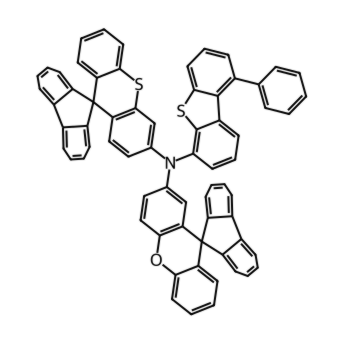 c1ccc(-c2cccc3sc4c(N(c5ccc6c(c5)Sc5ccccc5C65c6ccccc6-c6ccccc65)c5ccc6c(c5)C5(c7ccccc7O6)c6ccccc6-c6ccccc65)cccc4c23)cc1